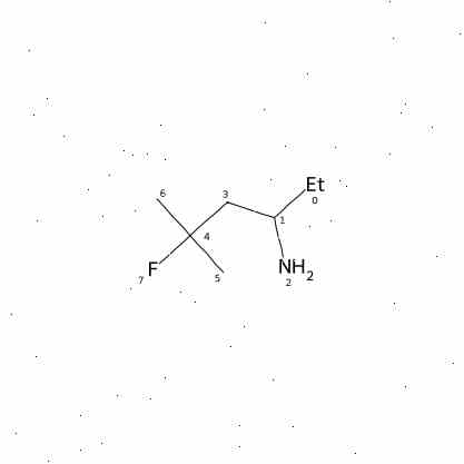 CCC(N)CC(C)(C)F